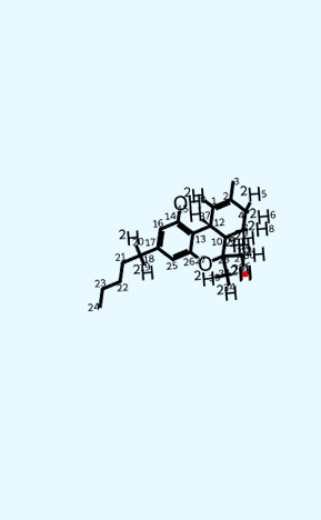 [2H]C1=C(C)C([2H])([2H])C([2H])([2H])[C@]2([2H])[C@@H]1c1c(O)cc(C([2H])([2H])CCCC)cc1OC2(C([2H])([2H])[2H])C([2H])([2H])[2H]